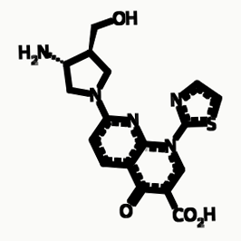 N[C@H]1CN(c2ccc3c(=O)c(C(=O)O)cn(-c4nccs4)c3n2)C[C@@H]1CO